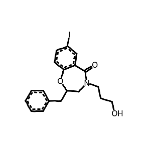 O=C1c2cc(I)ccc2OC(Cc2ccccc2)CN1CCCO